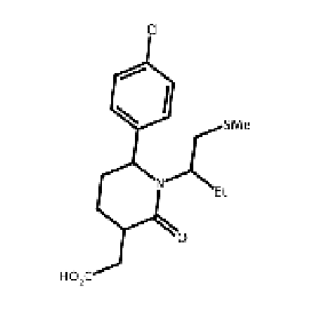 CCC(CSC)N1C(=O)C(CC(=O)O)CCC1c1ccc(Cl)cc1